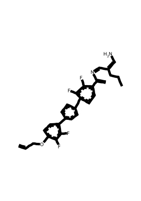 C=CCOc1ccc(-c2ccc(-c3ccc(C(=C)/N=C\C(=C/N)CCC)c(F)c3F)cc2)c(F)c1F